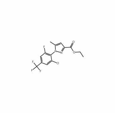 CCOC(=O)c1cc(C)n(-c2c(F)cc(C(F)(F)F)cc2Cl)n1